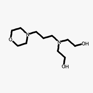 OCCN(CCO)CCCN1CCOCC1